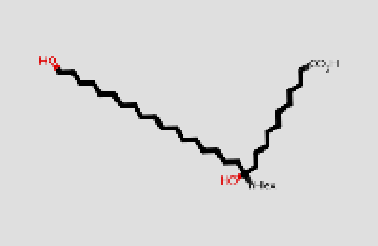 CCCCCCC(O)(CCCCCCCCCCCCCCCCCCO)CCCCCCCCCCC(=O)O